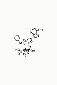 O=[N+]([O-])c1ccccc1CO[C@H]1C[C@H](n2cnc3c(O)ncnc32)O[C@@H]1COP(=O)(O)OP(=O)(O)OP(=O)(O)O